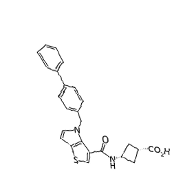 O=C(N[C@H]1C[C@@H](C(=O)O)C1)c1csc2ccn(Cc3ccc(-c4ccccc4)cc3)c12